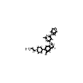 Cc1nc(N2CC3CC2CO3)cc(-n2ncc3cc(C)c(C4CCN(CCO)CC4)cc32)n1